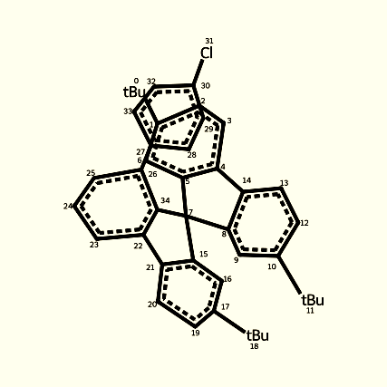 CC(C)(C)c1ccc2c(c1)C1(c3cc(C(C)(C)C)ccc3-2)c2cc(C(C)(C)C)ccc2-c2cccc(-c3ccc(Cl)cc3)c21